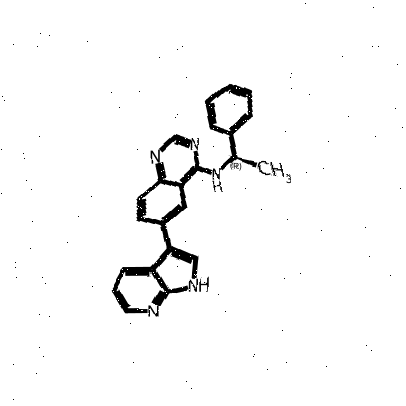 C[C@@H](Nc1ncnc2ccc(-c3c[nH]c4ncccc34)cc12)c1ccccc1